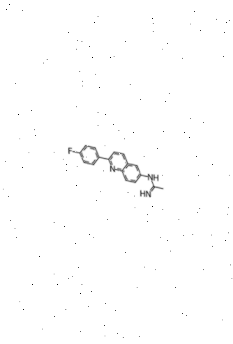 CC(=N)Nc1ccc2nc(-c3ccc(F)cc3)ccc2c1